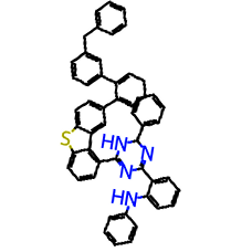 C1=C(c2cccc(Cc3ccccc3)c2)C(c2ccc3sc4cccc(C5=NC(c6ccccc6Nc6ccccc6)=NC(c6ccccc6)N5)c4c3c2)=CCC1